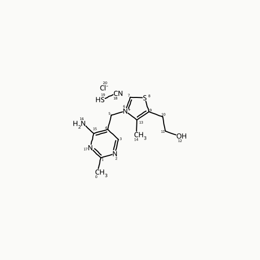 Cc1ncc(C[n+]2csc(CCO)c2C)c(N)n1.N#CS.[Cl-]